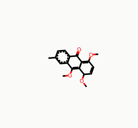 COC1=C2C(=O)c3ccc(C)cc3C(OC)=C2C(OC)C=C1